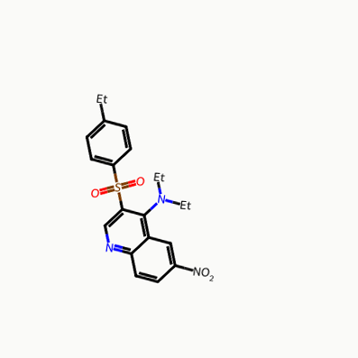 CCc1ccc(S(=O)(=O)c2cnc3ccc([N+](=O)[O-])cc3c2N(CC)CC)cc1